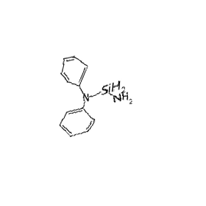 N[SiH2]N(c1ccccc1)c1ccccc1